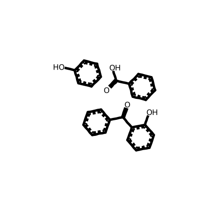 O=C(O)c1ccccc1.O=C(c1ccccc1)c1ccccc1O.Oc1ccccc1